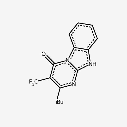 CCC(C)c1nc2[nH]c3ccccc3n2c(=O)c1C(F)(F)F